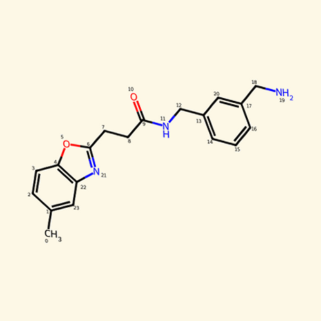 Cc1ccc2oc(CCC(=O)NCc3cccc(CN)c3)nc2c1